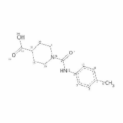 Cc1ccc(NC(=O)N2CCC(C(=O)O)CC2)cc1